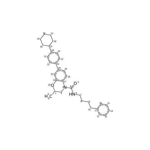 CC1CN(C(=O)NCCCCc2ccccc2)c2ccc(-c3ccc(C4CCCCC4)cc3)cc2O1